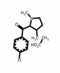 CC(=O)O.CC1CCN(C)C1C(=O)c1ccc(Cl)cc1